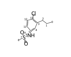 CCCc1cc(NS(C)(=O)=O)ccc1Cl